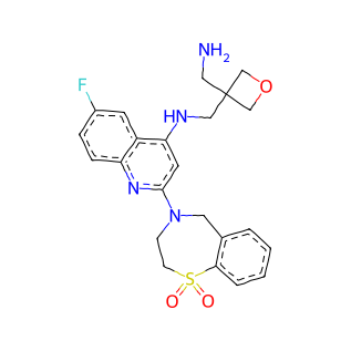 NCC1(CNc2cc(N3CCS(=O)(=O)c4ccccc4C3)nc3ccc(F)cc23)COC1